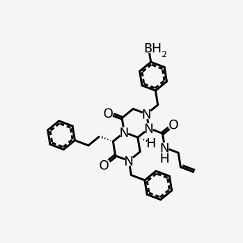 Bc1ccc(CN2CC(=O)N3[C@@H](CCc4ccccc4)C(=O)N(Cc4ccccc4)C[C@@H]3N2C(=O)NCC=C)cc1